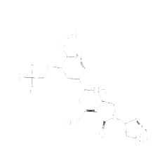 COC1N=CC(C2CC(C)=C3C(=O)N(C4C=NNC4)CC3N2)CC1OCC(F)(F)F